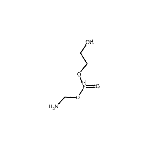 NCO[PH](=O)OCCO